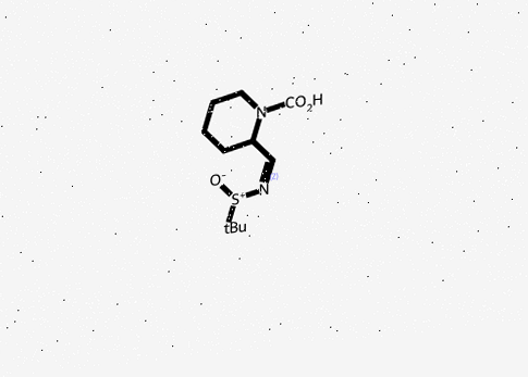 CC(C)(C)[S+]([O-])/N=C\C1CCCCN1C(=O)O